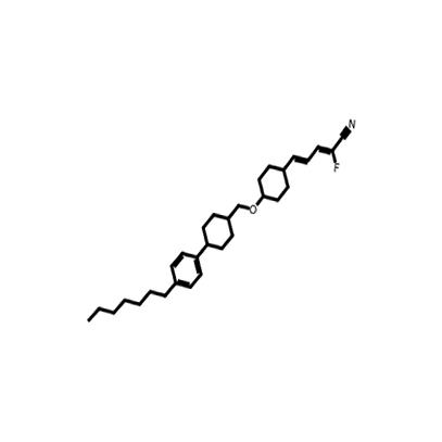 CCCCCCCc1ccc(C2CCC(COC3CCC(C=CC=C(F)C#N)CC3)CC2)cc1